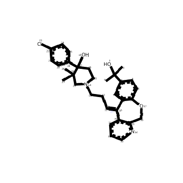 CC(C)(O)c1ccc2c(c1)/C(=C\CCN1CCC(O)(c3ccc(Cl)cc3)C(C)(C)C1)c1cccnc1CO2